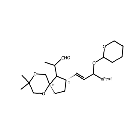 CCCCCC(C=C[C@@H]1CC[C@]2(COC(C)(C)CO2)C1C(C)C=O)OC1CCCCO1